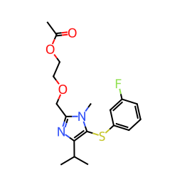 CC(=O)OCCOCc1nc(C(C)C)c(Sc2cccc(F)c2)n1C